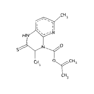 C=C(C)OC(=O)N1c2nc(C)ccc2NC(=S)C1C